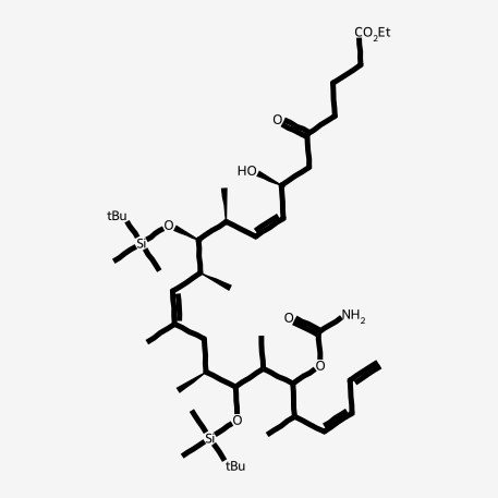 C=C/C=C\C(C)C(OC(N)=O)C(C)C(O[Si](C)(C)C(C)(C)C)[C@@H](C)C/C(C)=C\[C@H](C)[C@@H](O[Si](C)(C)C(C)(C)C)[C@@H](C)/C=C\[C@@H](O)CC(=O)CCCC(=O)OCC